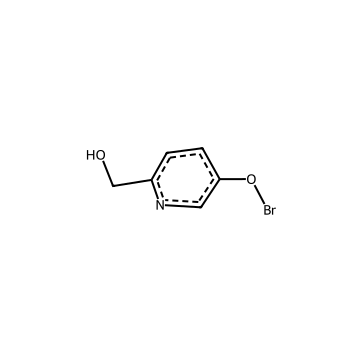 OCc1ccc(OBr)cn1